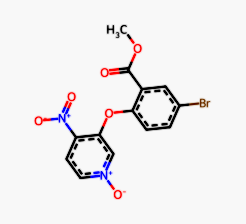 COC(=O)c1cc(Br)ccc1Oc1c[n+]([O-])ccc1[N+](=O)[O-]